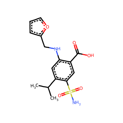 CC(C)c1cc(NCc2ccco2)c(C(=O)O)cc1S(N)(=O)=O